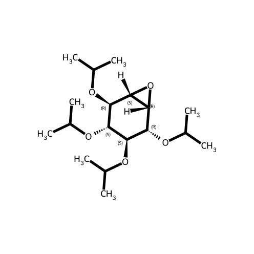 CC(C)O[C@H]1[C@H](OC(C)C)[C@@H](OC(C)C)[C@@H]2O[C@@H]2[C@@H]1OC(C)C